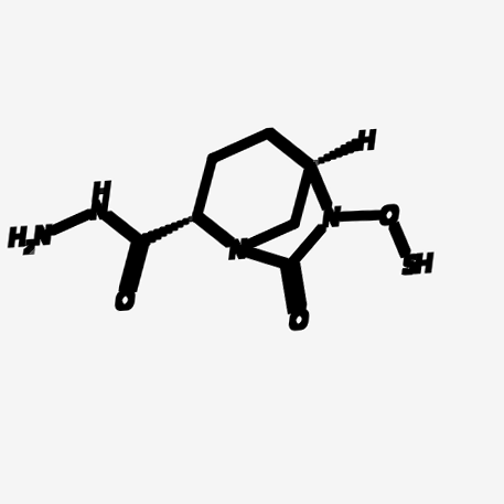 NNC(=O)[C@@H]1CC[C@@H]2CN1C(=O)N2OS